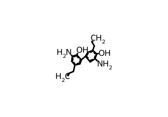 C=CCc1cc(N)c(O)c(-c2cc(N)c(O)c(CC=C)c2)c1